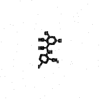 Cc1cc(F)ccc1NC(O)c1cc(Cl)cc(Cl)c1O